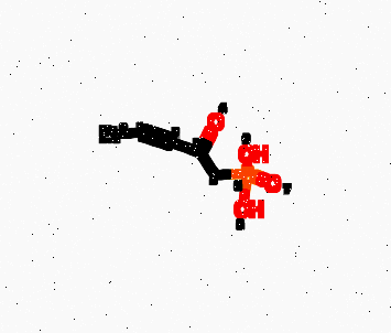 CCC#CC(=O)CP(=O)(O)O